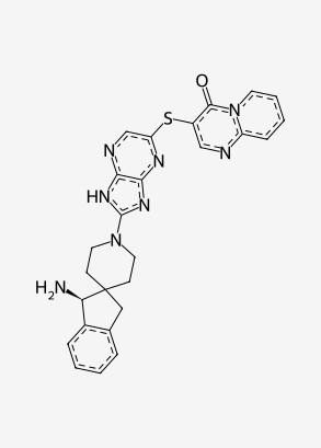 N[C@@H]1c2ccccc2CC12CCN(c1nc3nc(Sc4cnc5ccccn5c4=O)cnc3[nH]1)CC2